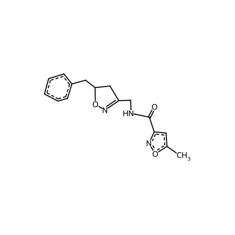 Cc1cc(C(=O)NCC2=NOC(Cc3ccccc3)C2)no1